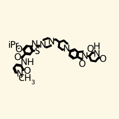 CC(C)Oc1cc2nc(N3CCN(CC4CCN(c5ccc6c(c5)CN(C5CCC(=O)NC5=O)C6=O)CC4)CC3)sc2cc1C(=O)Nc1cccn(C)c1=O